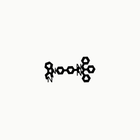 c1ccc(-c2nc(-c3ccc(-c4ccc(-n5c6ccccc6c6ccncc65)cc4)cc3)nc(-c3ccccc3)c2-c2ccccc2)cc1